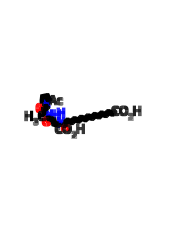 CC(=O)[C@@H]1CCCN1CC(=O)[C@H](C)NC(=O)CC[C@H](NC(=O)CCCCCCCCCCCCCCC(=O)O)C(=O)O